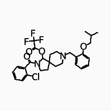 CC(C)COc1ccccc1CN1CCC2(CC1)CCN(C(=O)c1ccccc1Cl)C2OC(=O)C(F)(F)F